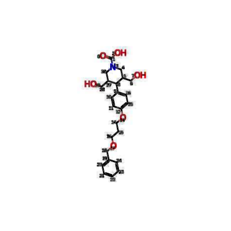 O=C(O)N1CC(CO)C(c2ccc(OCCCOCc3ccccc3)cc2)C(CO)C1